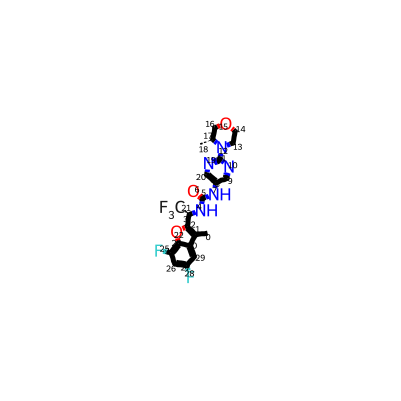 Cc1c([C@@H](NC(=O)Nc2cnc(N3CCOC[C@H]3C)nc2)C(F)(F)F)oc2c(F)cc(F)cc12